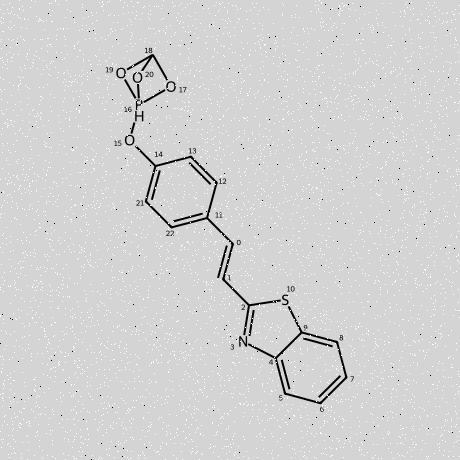 C(=C\c1nc2ccccc2s1)/c1ccc(O[PH]23OC(O2)O3)cc1